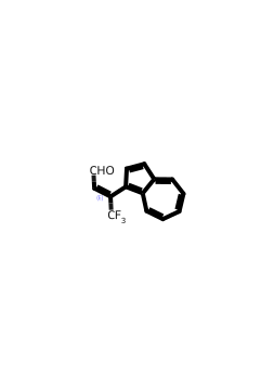 O=C/C=C(\c1ccc2cccccc1-2)C(F)(F)F